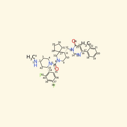 CN[C@@H]1CCN(C(=O)N2CC[C@@H](Cn3cnc(-c4ccccc4C)cc3=O)C3(CCCC3)C2)[C@H](c2ccc(F)cc2F)C1